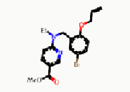 C=CCOc1ccc(Br)cc1CN(CC)c1ccc(C(=O)OC)cn1